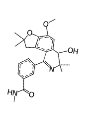 CNC(=O)c1cccc(C2=NC(C)(C)C(O)c3cc(OC)c4c(c32)CC(C)(C)O4)c1